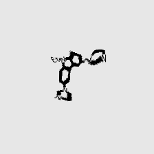 CCn1c2ccc(-n3ccnc3)cc2c2cc(-n3ccnc3)ccc21